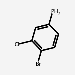 Pc1ccc(Br)c(Cl)c1